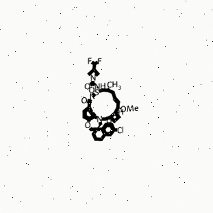 CO[C@H]1/C=C/C[C@H](C)C[S@@](=O)(NC(=O)N2CC(C(F)F)C2)=NC(=O)c2ccc3c(c2)N(C[C@@H]2CC[C@H]21)C[C@@]1(CCCc2cc(Cl)ccc21)CO3